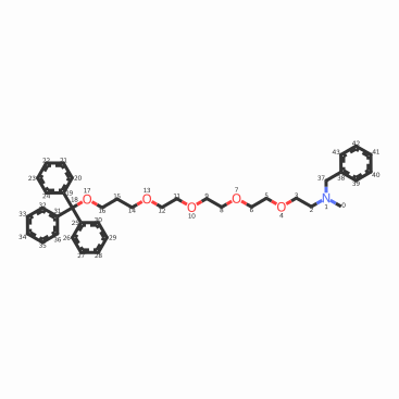 CN(CCOCCOCCOCCOCCCOC(c1ccccc1)(c1ccccc1)c1ccccc1)Cc1ccccc1